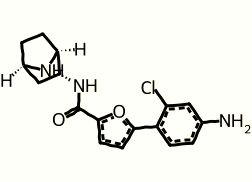 Nc1ccc(-c2ccc(C(=O)N[C@@H]3C[C@H]4CC[C@@H]3N4)o2)c(Cl)c1